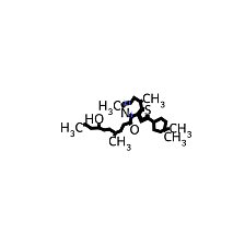 CCCC(O)CCC(C)CCC(=O)/C1=N/C(C)=C/CC(C)c2sc(C3CCC(C)(C)CC3)cc21